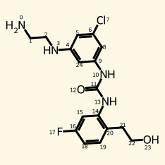 NCCNc1cc(Cl)cc(NC(=O)Nc2cc(F)ccc2CCO)c1